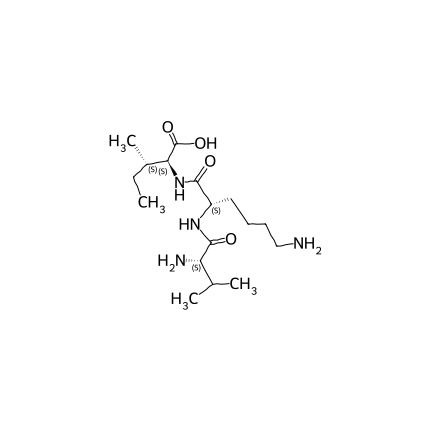 CC[C@H](C)[C@H](NC(=O)[C@H](CCCCN)NC(=O)[C@@H](N)C(C)C)C(=O)O